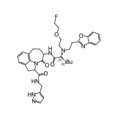 CC[C@H](C)[C@@H](C(=O)NC1CCc2cccc3c2N(C1=O)C(C(=O)NCc1ccn[nH]1)C3)N(CCOCCF)CCc1nc2ccccc2o1